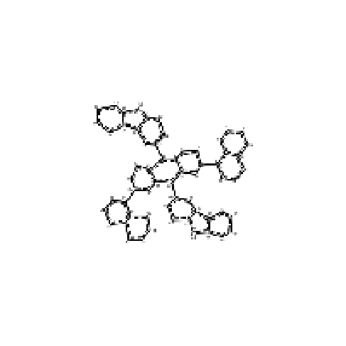 c1ccc2c(-c3ccc4c(-c5ccc6oc7ccccc7c6c5)c5ccc(-c6cccc7ccccc67)cc5c(-c5ccc6oc7ccccc7c6c5)c4c3)cccc2c1